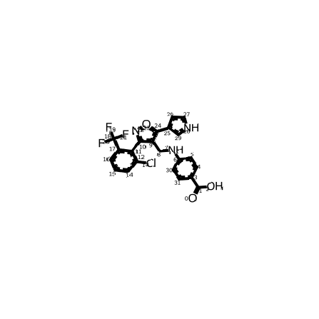 O=C(O)c1ccc(NCc2c(-c3c(Cl)cccc3C(F)(F)F)noc2-c2cc[nH]c2)cc1